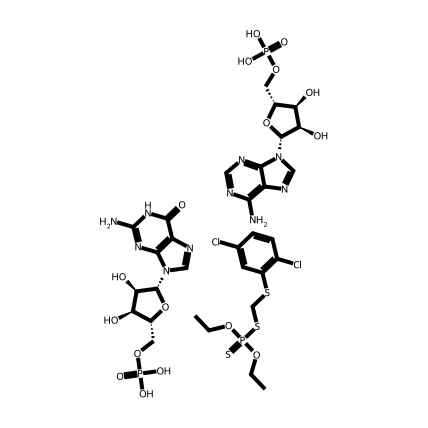 CCOP(=S)(OCC)SCSc1cc(Cl)ccc1Cl.Nc1nc2c(ncn2[C@@H]2O[C@H](COP(=O)(O)O)[C@@H](O)[C@H]2O)c(=O)[nH]1.Nc1ncnc2c1ncn2[C@@H]1O[C@H](COP(=O)(O)O)[C@@H](O)[C@H]1O